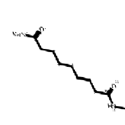 CNC(=O)CCCCCCCC(=O)NC(C)C